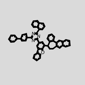 c1ccc(-c2ccc(-c3nc(-c4cc(C5CCc6cc7ccccc7cc6-c6ccccc65)c5oc6ccccc6c5c4)nc(-c4cccc5ccccc45)n3)cc2)cc1